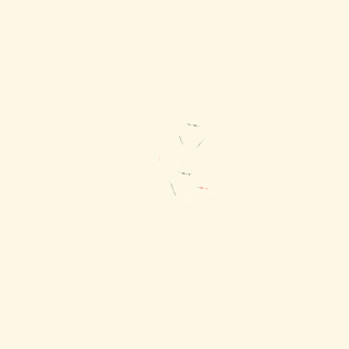 O=c1oc2c(c(O)c1C(c1ccccc1)C1CC1)CCCCCCCCCC2